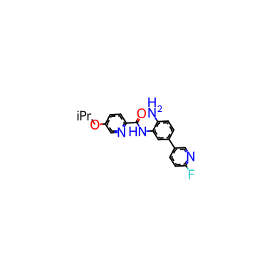 CC(C)Oc1ccc(C(=O)Nc2cc(-c3ccc(F)nc3)ccc2N)nc1